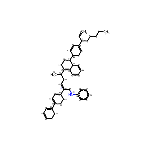 C=CC(CCCCC)C1=CCC(C2CCC(C(C)C/C=C(\CNc3ccccc3)C3=CC=C(C4=CC=CCC4)CC3)=C3C=CC=CC32)C=C1